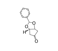 O=C1CC2OC(c3ccccc3)O[C@H]2C1